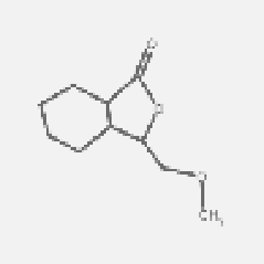 COCC1OC(=O)C2CCCCC12